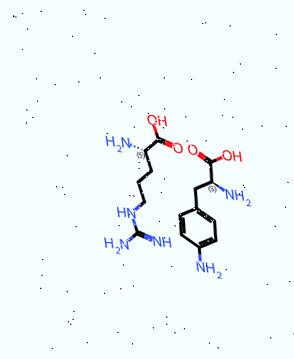 N=C(N)NCCC[C@H](N)C(=O)O.Nc1ccc(C[C@H](N)C(=O)O)cc1